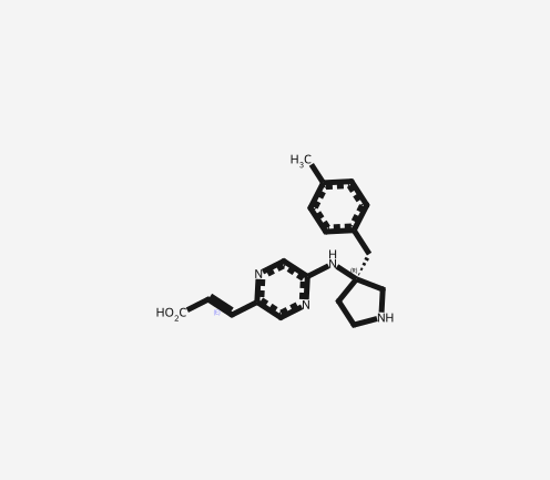 Cc1ccc(C[C@@]2(Nc3cnc(/C=C/C(=O)O)cn3)CCNC2)cc1